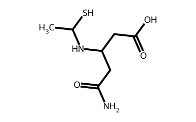 CC(S)NC(CC(N)=O)CC(=O)O